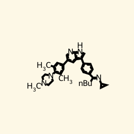 CCCCC(=NC1CC1)c1ccc(-c2c[nH]c3ncc(-c4cc(C)c(N5CCN(C)CC5)c(C)c4)cc23)cc1